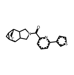 O=C(c1cccc(-c2ccsc2)n1)N1CC2C3C=CCC(C4CC34)C2C1